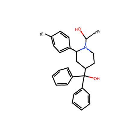 CCCC(O)N1CCC(C(O)(c2ccccc2)c2ccccc2)CC1c1ccc(C(C)(C)C)cc1